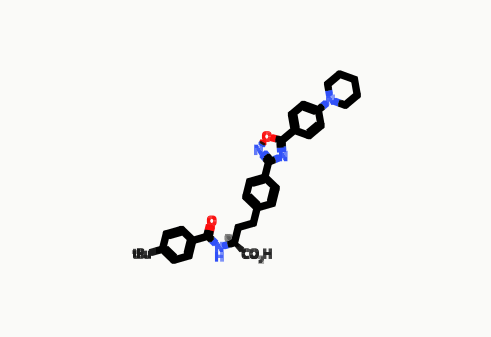 CC(C)(C)c1ccc(C(=O)N[C@@H](CCc2ccc(-c3noc(-c4ccc(N5CCCCC5)cc4)n3)cc2)C(=O)O)cc1